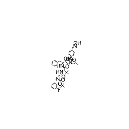 CC(C)CN(C[C@@H](O)[C@H](Cc1ccccc1)NC(=O)[C@H](NC(=O)CN(Cc1cccc(F)c1)C(=O)OC(C)(C)C)C(C)(C)C)S(=O)(=O)c1ccc(C=NO)cc1